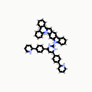 c1ccc(-c2ccc(-c3cc(-c4ccc(-c5ccccn5)cc4)nc(-n4c5ccccc5c5cc6cc7c8ccccc8c8ccccc8n7c6cc54)n3)cc2)nc1